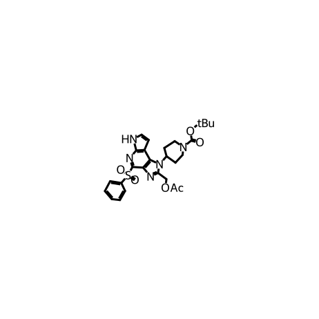 CC(=O)OCc1nc2c(S(=O)(=O)c3ccccc3)nc3[nH]ccc3c2n1C1CCN(C(=O)OC(C)(C)C)CC1